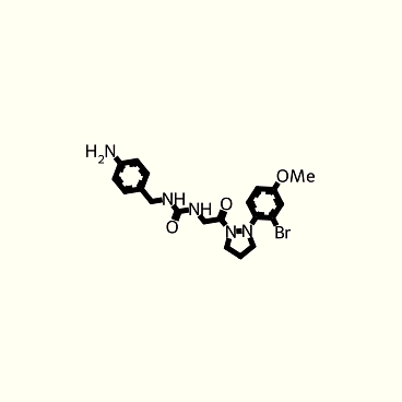 COc1ccc(N2CCCN2C(=O)CNC(=O)NCc2ccc(N)cc2)c(Br)c1